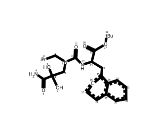 CC(C)CN(CC(O)(O)C(N)=O)C(=O)NC(Cc1cccc2ccccc12)C(=O)OC(C)(C)C